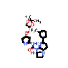 CC1(C)OC[C@@H](COc2ccnc(NC(=O)N3c4nc(-c5cccc(C(F)(F)F)c5)ccc4N4CC[C@H]3C4)c2)O1